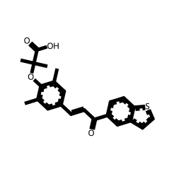 Cc1cc(C=CC(=O)c2ccc3sccc3c2)cc(C)c1OC(C)(C)C(=O)O